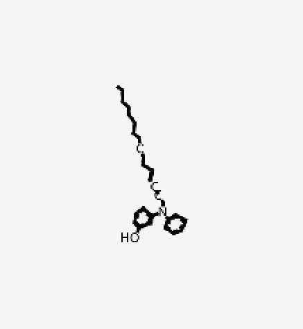 CCCCCCCCCCCCCCCCN(c1ccccc1)c1cccc(O)c1